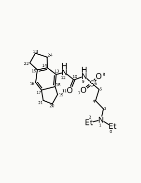 CCN(CC)CCCS(=O)(=O)NC(=O)Nc1c2c(cc3c1CCC3)CCC2